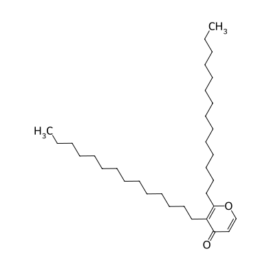 CCCCCCCCCCCCCCc1occc(=O)c1CCCCCCCCCCCCCC